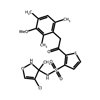 COc1c(C)cc(C)c(CC(=O)c2sccc2S(=O)(=O)NC2(C)NOC=C2Cl)c1C